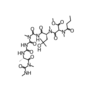 CCCC(=O)N(C)C(C(=O)OC)C(=O)N(C)[C@@H](CC(C)(C)O)C(=O)NC(=O)N(C)C(=O)NC(=O)N[C@@H](C)C(=O)N(C)C(=O)NC